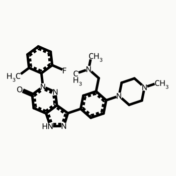 Cc1cccc(F)c1-n1nc2c(-c3ccc(N4CCN(C)CC4)c(CN(C)C)c3)n[nH]c2cc1=O